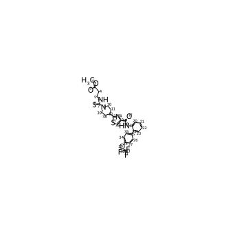 COC(=O)CCNC(=S)N1CCC(c2nc(C(=O)Nc3ccccc3-c3ccc(OC(F)(F)F)cc3)cs2)CC1